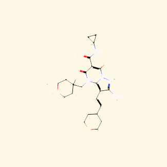 CC1(Cn2c(=O)c(C(=O)NC3CC3)c(O)n3nc(N)c(C=CC4CCOCC4)c23)CCOCC1.Cl